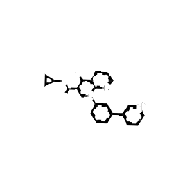 O=C(NC1CC1)c1cn(-c2cccc(-c3ccc[n+]([O-])c3)c2)c2ncccc2c1=O